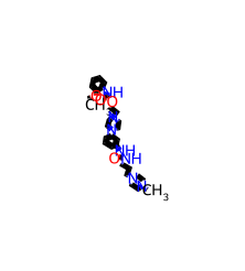 CCOc1ccccc1NC(=O)OCCN1CCN(c2cccc(NC(=O)NCCCN3CCN(C)CC3)c2)CC1